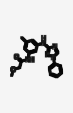 COCC(=O)Nc1cc(C)cc(Nc2ncn(-c3ccccc3)n2)c1